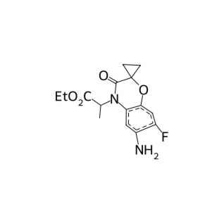 CCOC(=O)C(C)N1C(=O)C2(CC2)Oc2cc(F)c(N)cc21